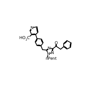 CCCCCn1nc(C(=O)Cc2ccccc2)nc1Cc1ccc(-c2ccncc2C(=O)O)cc1